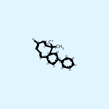 CC1(C)/C=C/C(I)=C\C=C\c2ccc(-c3ccccc3)cc21